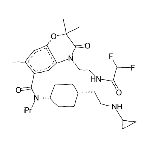 Cc1cc2c(cc1C(=O)N(C(C)C)[C@H]1CC[C@@H](CCNC3CC3)CC1)N(CCNC(=O)C(F)F)C(=O)C(C)(C)O2